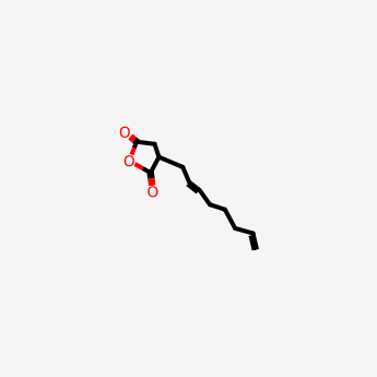 C=CCCC/C=C/CC1CC(=O)OC1=O